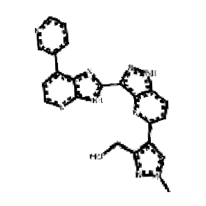 Cn1cc(-c2ccc3[nH]nc(-c4nc5c(-c6cccnc6)ccnc5[nH]4)c3n2)c(CO)n1